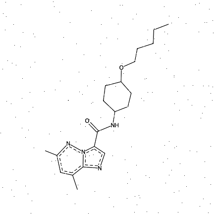 CCCCCOC1CCC(NC(=O)c2cnc3c(C)cc(C)nn23)CC1